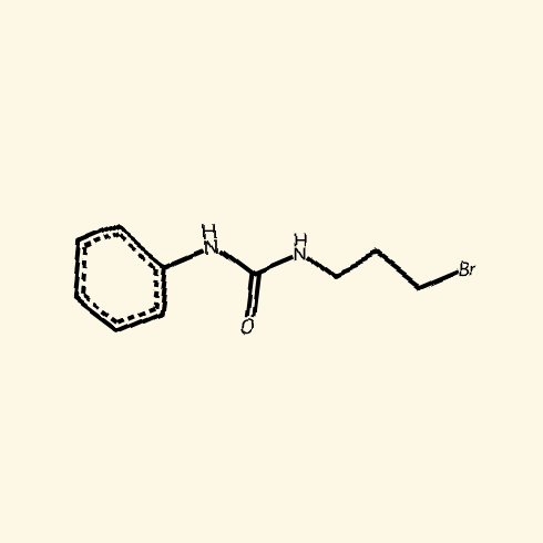 O=C(NCCCBr)Nc1ccccc1